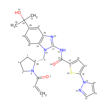 C=CC(=O)N1CCC[C@@H]1Cn1c(NC(=O)c2ccc(-n3cccn3)s2)nc2cc(C(C)(C)O)ccc21